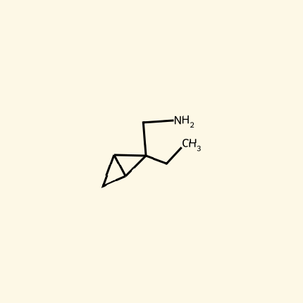 CCC1(CN)C2CC21